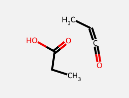 CC=C=O.CCC(=O)O